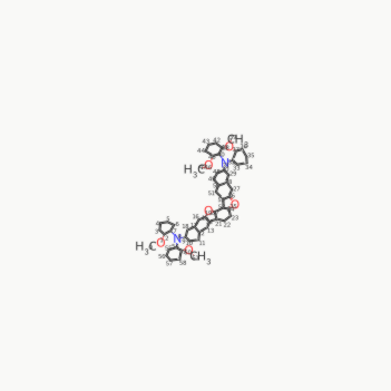 COc1ccccc1N(c1ccc2cc3c(cc2c1)oc1c3ccc2oc3cc4cc(N(c5ccccc5OC)c5ccccc5OC)ccc4cc3c21)c1ccccc1OC